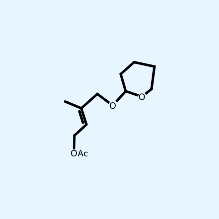 CC(=O)OCC=C(C)COC1CCCCO1